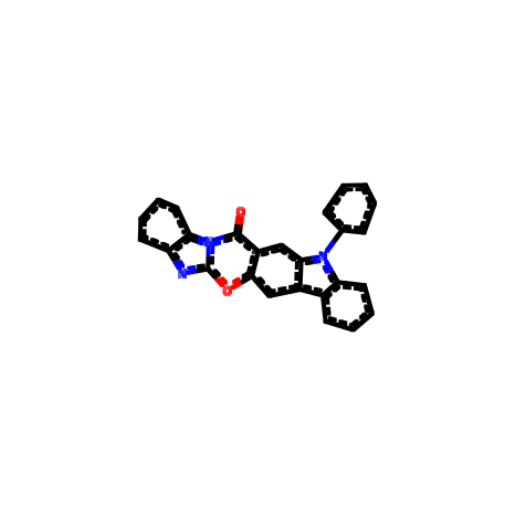 O=c1c2cc3c(cc2oc2nc4ccccc4n12)c1ccccc1n3-c1ccccc1